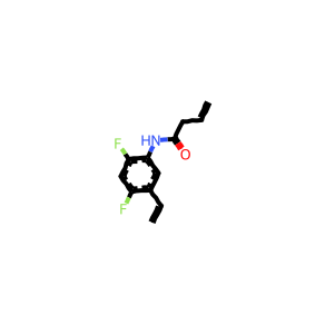 C=CCC(=O)Nc1cc(C=C)c(F)cc1F